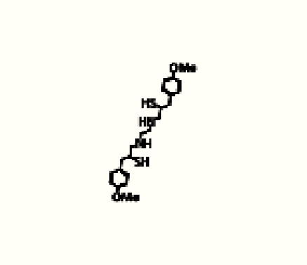 COc1ccc(CC(S)CNCCNCC(S)Cc2ccc(OC)cc2)cc1